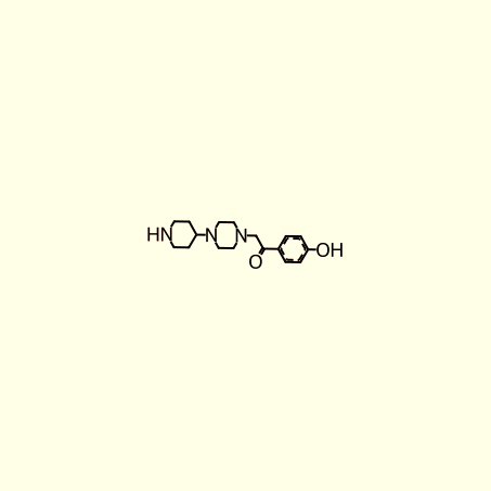 O=C(CN1CCN(C2CCNCC2)CC1)c1ccc(O)cc1